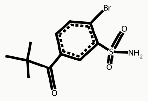 CC(C)(C)C(=O)c1ccc(Br)c(S(N)(=O)=O)c1